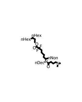 CCCCCCCCCCN(C(=O)CCCN(C)C)C(CCCCCCCCC)CCCCC(F)(F)C(=O)OCCC(CCCCCC)CCCCCC